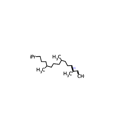 [CH]=C/C(C)=C/CCC(C)CCCC(C)CCCC(C)C